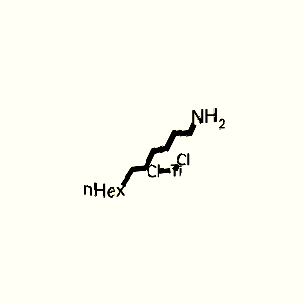 CCCCCCCCCCCCN.[Cl][Ti][Cl]